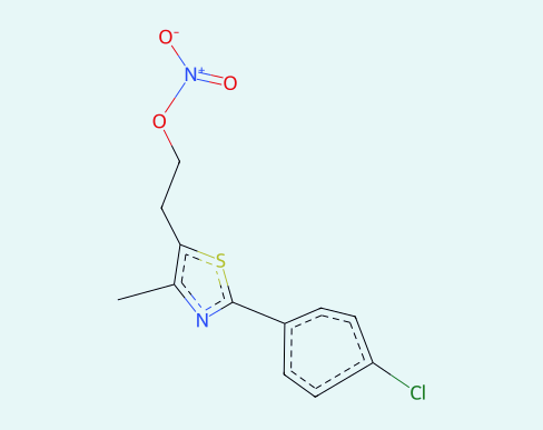 Cc1nc(-c2ccc(Cl)cc2)sc1CCO[N+](=O)[O-]